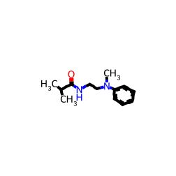 CC(C)C(=O)NCCN(C)c1ccccc1